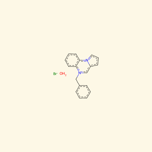 O.[Br-].c1ccc(Cn2cc3ccc[n+]-3c3ccccc32)cc1